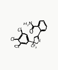 NC(=O)c1ccccc1C1=NCC(c2cc(Cl)c(Cl)c(Cl)c2)(C(F)(F)F)C1